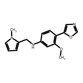 COc1cc(NCc2cccn2C)ccc1-c1cnco1